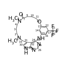 CN1CCCN(C)C(=O)CCCOc2cc(cc(C(F)(F)F)c2)Nc2ncnc3[nH]cc(c23)C1